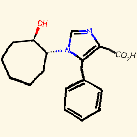 O=C(O)c1ncn([C@@H]2CCCCC[C@H]2O)c1-c1ccccc1